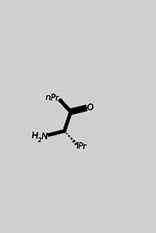 [CH2]CCC(=O)[C@@H](N)C(C)C